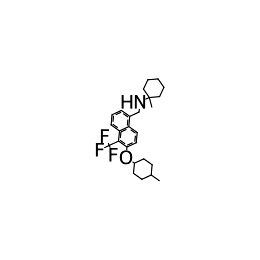 CC1CCC(Oc2ccc3c(CNC4(C)CCCCC4)cccc3c2C(F)(F)F)CC1